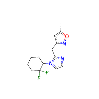 Cc1cc(Cc2nccn2C2CCCCC2(F)F)no1